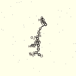 CC1(C)CCC(CN2CCN(c3ccc(C(=O)NS(=O)(=O)c4ccc(NCC5CCN(CCOCCC#Cc6cccc7c6C(=O)N(C6CCC(=O)NC6=O)C7)CC5)c([N+](=O)[O-])c4)c(Oc4cnc5[nH]ccc5c4)c3)CC2)=C(c2ccc(Cl)cc2)C1